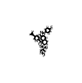 Cn1cc(S(=O)(=O)[C@H]2CCC3=Cc4c(cnn4-c4ccc(F)cc4)C[C@]3(C(=O)c3ccc(C4CC4)cn3)C2)cn1